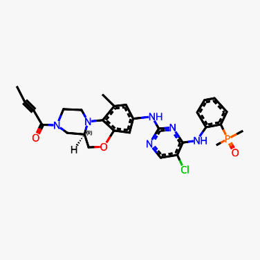 CC#CC(=O)N1CCN2c3c(C)cc(Nc4ncc(Cl)c(Nc5ccccc5P(C)(C)=O)n4)cc3OC[C@H]2C1